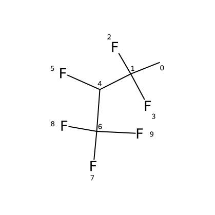 CC(F)(F)C(F)C(F)(F)F